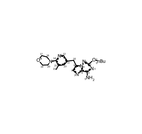 CCCCOc1nc(N)c2ncc(Cc3cnc(N4CCOCC4)c(C)c3)n2n1